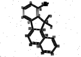 CC1(C)c2c(Br)cccc2-c2ccc3ccccc3c21